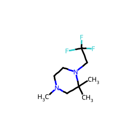 CN1CCN(CC(F)(F)F)C(C)(C)C1